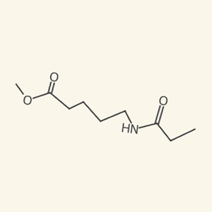 CCC(=O)NCCCCC(=O)OC